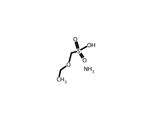 CCOCS(=O)(=O)O.N